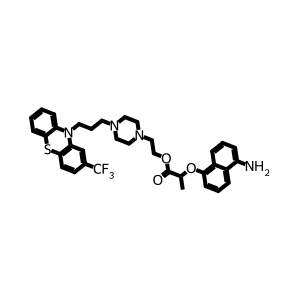 CC(Oc1cccc2c(N)cccc12)C(=O)OCCN1CCN(CCCN2c3ccccc3Sc3ccc(C(F)(F)F)cc32)CC1